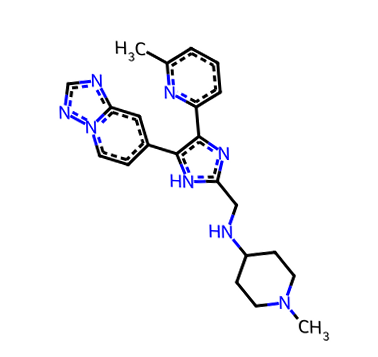 Cc1cccc(-c2nc(CNC3CCN(C)CC3)[nH]c2-c2ccn3ncnc3c2)n1